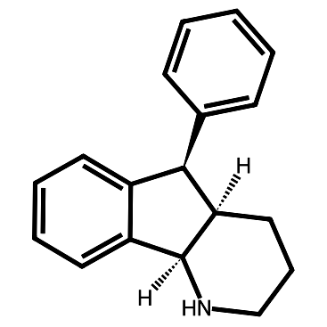 c1ccc([C@@H]2c3ccccc3[C@@H]3NCCC[C@H]23)cc1